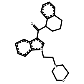 O=C(c1cn(CCN2CCOCC2)c2ccccc12)C1CCCc2ccccc21